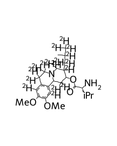 [2H]c1c(OC)c(OC)c([2H])c2c1C1N(C([2H])([2H])C2([2H])[2H])C([2H])([2H])C([2H])(C([2H])([2H])C([2H])(C)C([2H])([2H])[2H])C(OC(=O)[C@@H](N)C(C)C)C1([2H])[2H]